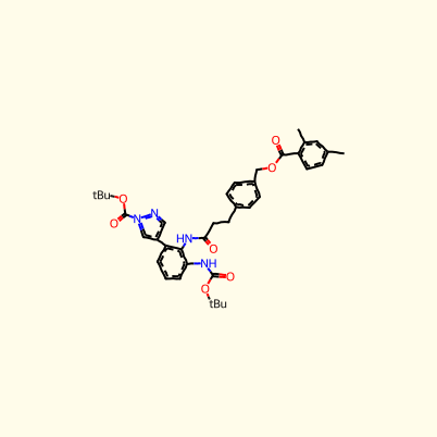 Cc1ccc(C(=O)OCc2ccc(CCC(=O)Nc3c(NC(=O)OC(C)(C)C)cccc3-c3cnn(C(=O)OC(C)(C)C)c3)cc2)c(C)c1